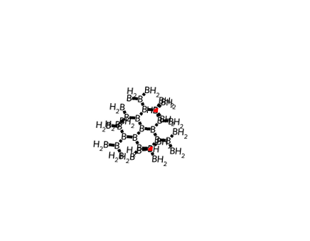 BBB(B)B(B(B(B)B)B(B)B)B(B(B(B)B)B(B(B)B)B(B)B)B(B(B)BB)B(B(B)B)B(B)B